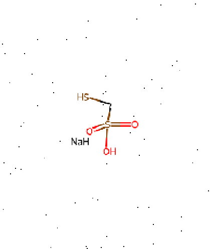 O=S(=O)(O)CS.[NaH]